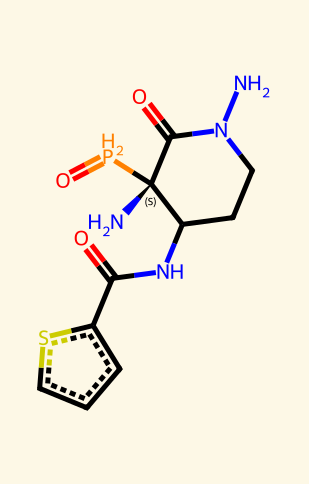 NN1CCC(NC(=O)c2cccs2)[C@](N)([PH2]=O)C1=O